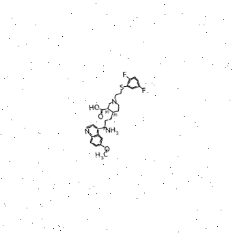 COc1ccc2nccc([C@H](N)CC[C@@H]3CCN(CCSc4cc(F)ccc4F)C[C@@H]3C(=O)O)c2c1